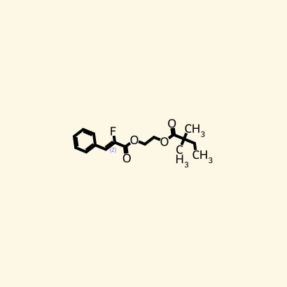 CCC(C)(C)C(=O)OCCOC(=O)/C(F)=C/c1ccccc1